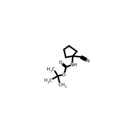 CC(C)(C)OC(=O)NC1(C#N)CCCC1